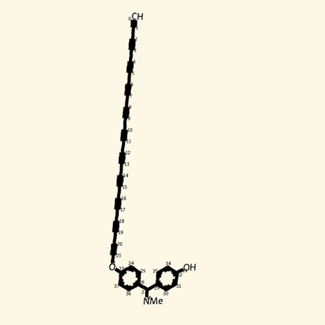 C#CC#CC#CC#CC#CC#CC#CC#CC#CC#CC#COc1ccc(C(NC)c2ccc(O)cc2)cc1